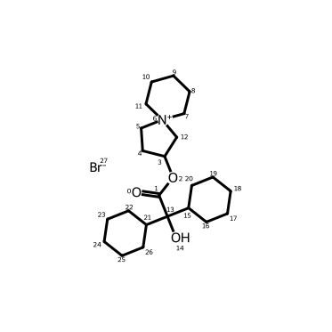 O=C(OC1CC[N+]2(CCCCC2)C1)C(O)(C1CCCCC1)C1CCCCC1.[Br-]